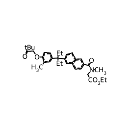 CCOC(=O)CN(C)C(=O)c1ccc2cc(C(CC)(CC)c3ccc(OCC(=O)C(C)(C)C)c(C)c3)ccc2c1